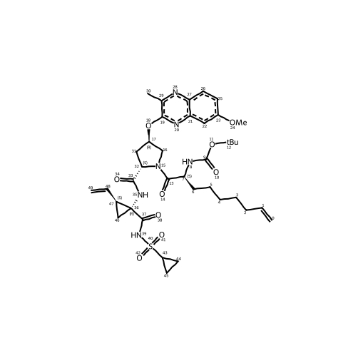 C=CCCCCC[C@H](NC(=O)OC(C)(C)C)C(=O)N1C[C@H](Oc2nc3cc(OC)ccc3nc2C)C[C@H]1C(=O)N[C@]1(C(=O)NS(=O)(=O)C2CC2)C[C@H]1C=C